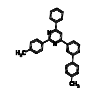 Cc1ccc(-c2cccc(-c3cc(-c4ccccc4)nc(-c4ccc(C)cc4)n3)c2)cc1